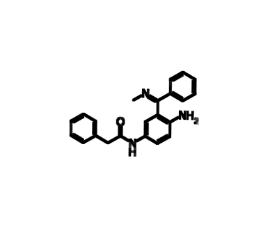 C/N=C(/c1ccccc1)c1cc(NC(=O)Cc2ccccc2)ccc1N